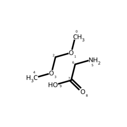 COCOC.NCC(=O)O